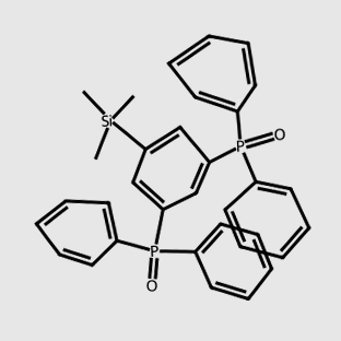 C[Si](C)(C)c1cc(P(=O)(c2ccccc2)c2ccccc2)cc(P(=O)(c2ccccc2)c2ccccc2)c1